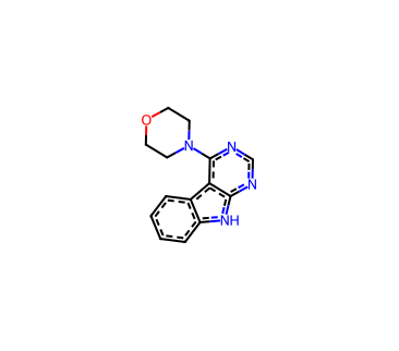 c1ccc2c(c1)[nH]c1ncnc(N3CCOCC3)c12